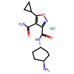 Cl.NC(=O)c1c(C(=O)N[C@H]2CC[C@H](N)CC2)noc1C1CC1